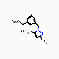 CCOC(=O)c1cc(C(F)(F)F)nn1Cc1cccc(COC)c1